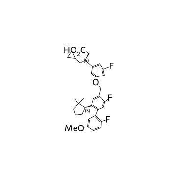 COc1ccc(F)c(-c2cc(F)c(COc3cc(F)cc([C@H](CC(=O)O)CC4CC4)c3)cc2[C@H]2CCCC2(C)C)c1